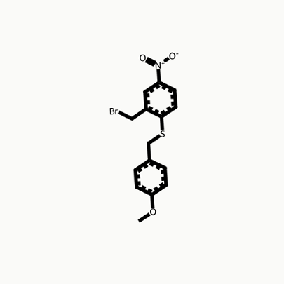 COc1ccc(CSc2ccc([N+](=O)[O-])cc2CBr)cc1